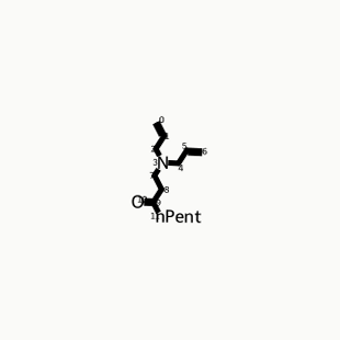 C=CCN(CC=C)CCC(=O)CCCCC